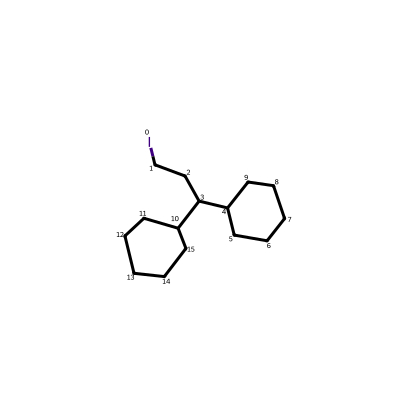 ICCC(C1CCCCC1)C1CCCCC1